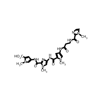 Cn1cc(NC(=O)c2nc(NC(=O)c3cc(NC(=O)CCNC(=O)c4nccn4C)cn3C)cn2C)cc1C(=O)O